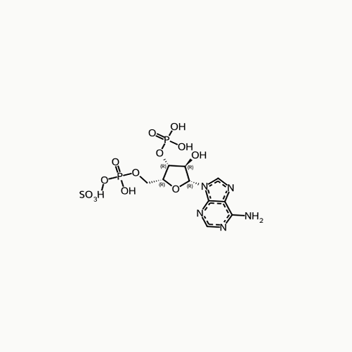 Nc1ncnc2c1ncn2[C@@H]1O[C@H](COP(=O)(O)OS(=O)(=O)O)[C@H](OP(=O)(O)O)[C@H]1O